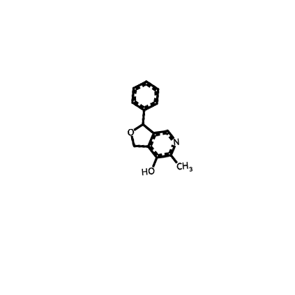 Cc1ncc2c(c1O)COC2c1ccccc1